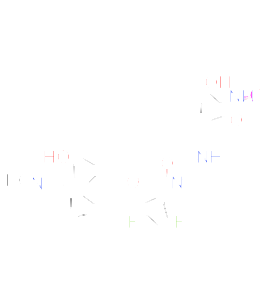 CN1CCC(c2ccccc2)(c2cc(CCOCCC(=O)N(CCNCCc3ccc(O)c4c3OCC(=O)N4)Cc3ccc(F)cc3F)ccc2O)CC1